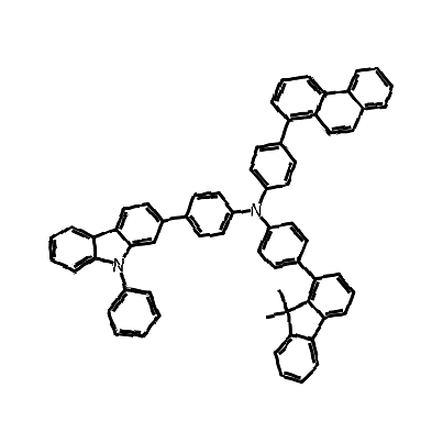 CC1(C)c2ccccc2-c2cccc(-c3ccc(N(c4ccc(-c5ccc6c7ccccc7n(-c7ccccc7)c6c5)cc4)c4ccc(-c5cccc6c5ccc5ccccc56)cc4)cc3)c21